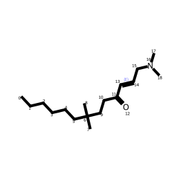 CCCCCCC(C)(C)CCC(=O)/C=C/CN(C)C